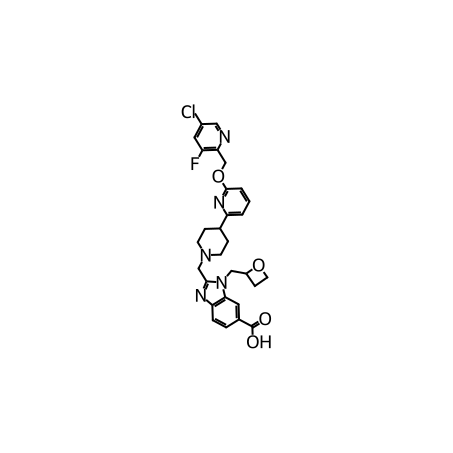 O=C(O)c1ccc2nc(CN3CCC(c4cccc(OCc5ncc(Cl)cc5F)n4)CC3)n(CC3CCO3)c2c1